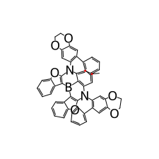 Cc1cc2c3c(c1)N(c1cc4c(cc1-c1ccccc1)OCCO4)c1oc4ccccc4c1B3c1c(oc3ccccc13)N2c1cc2c(cc1-c1ccccc1)OCCO2